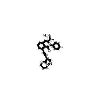 C[C@H](N)c1cc2cccc(C#Cc3cnn4c3OCCC4)c2c(=O)n1-c1ccccc1